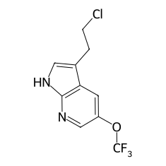 FC(F)(F)Oc1cnc2[nH]cc(CCCl)c2c1